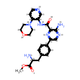 COC(=O)[C@@H](N)Cc1ccc(-c2cnc(N)c(C(=O)Nc3cnccc3N3CCOCC3)n2)cc1